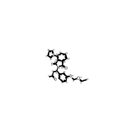 CCOCOc1cccc(C(CC(C)=O)N2C(=O)c3cccc(-n4cccc4)c3C2=O)c1